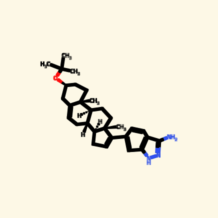 CC(C)(C)O[C@H]1CC[C@@]2(C)C(=CC[C@@H]3[C@@H]2CC[C@]2(C)C(c4ccc5c(N)n[nH]c5c4)=CC[C@@H]32)C1